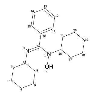 ON(C(=NC1CCCCC1)c1ccccc1)C1CCCCC1